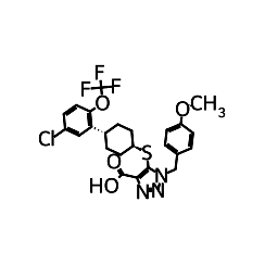 COc1ccc(Cn2nnc(C(=O)O)c2S[C@H]2CC[C@H](c3cc(Cl)ccc3OC(F)(F)F)CC2)cc1